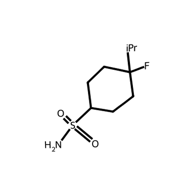 CC(C)C1(F)CCC(S(N)(=O)=O)CC1